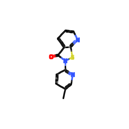 Cc1ccc(-n2sc3ncccc3c2=O)nc1